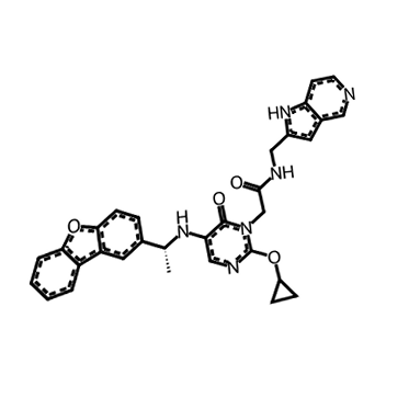 C[C@@H](Nc1cnc(OC2CC2)n(CC(=O)NCc2cc3cnccc3[nH]2)c1=O)c1ccc2oc3ccccc3c2c1